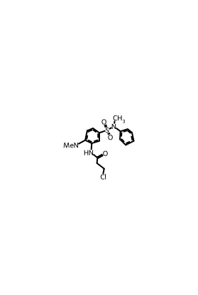 CNc1ccc(S(=O)(=O)N(C)c2ccccc2)cc1NC(=O)CCCl